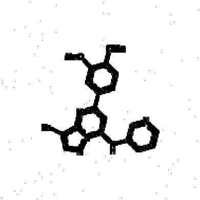 COc1ccc(-c2cc(Nc3cccnc3)n3ncc(Br)c3n2)cc1OC